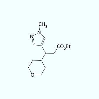 CCOC(=O)CC(c1cnn(C)c1)C1CCOCC1